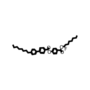 CCCCCCCCc1ccc(-c2ccc(C(=O)Oc3ccc(C(=O)OC(F)CCCCCCC)cc3)cc2)cc1